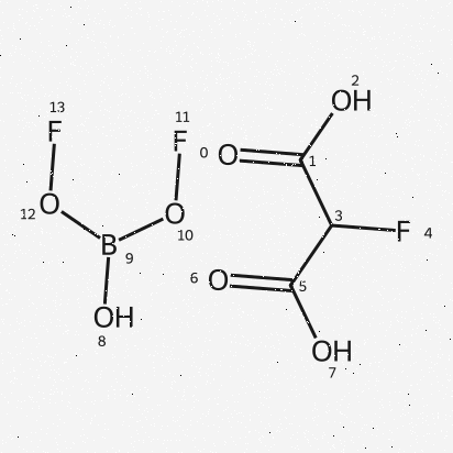 O=C(O)C(F)C(=O)O.OB(OF)OF